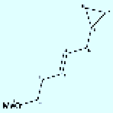 COCCC=CCC1[CH]C1